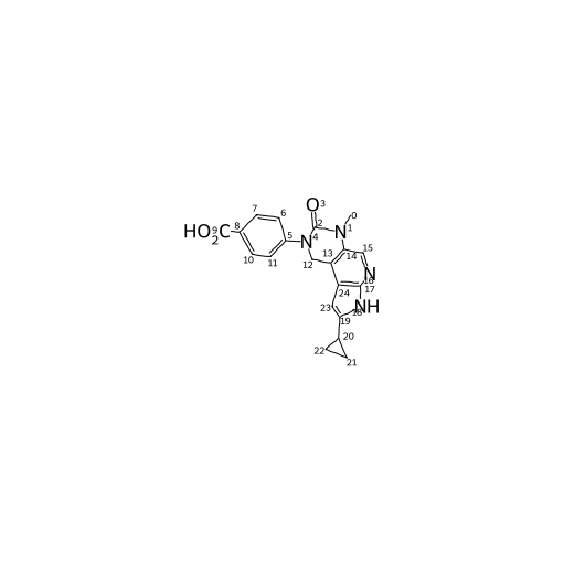 CN1C(=O)N(c2ccc(C(=O)O)cc2)Cc2c1cnc1[nH]c(C3CC3)cc21